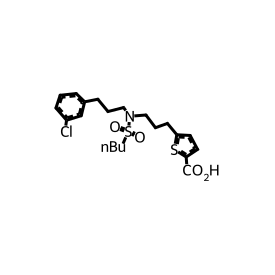 CCCCS(=O)(=O)N(CCCc1cccc(Cl)c1)CCCc1ccc(C(=O)O)s1